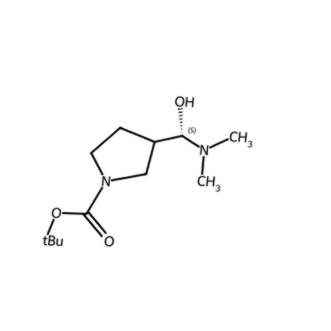 CN(C)[C@@H](O)C1CCN(C(=O)OC(C)(C)C)C1